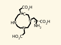 N[C@H](CN1CCN(CC(=O)O)CCNCCN(CC(=O)O)CC1)C(=O)O